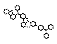 c1ccc(N(c2ccccc2)c2ccc(-c3ccc4c(c3)Oc3cccc5c3c-4cc3ccc(N(c4ccccc4)c4cccc6c4oc4ccccc46)cc35)cc2)cc1